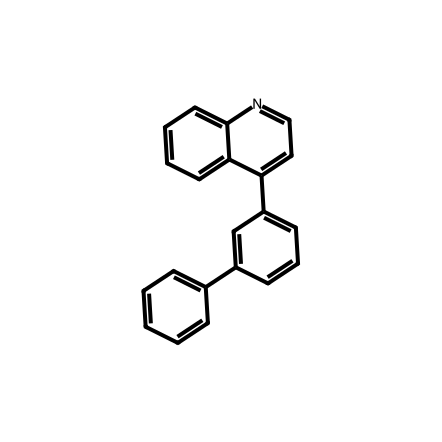 c1ccc(-c2cccc(-c3ccnc4ccccc34)c2)cc1